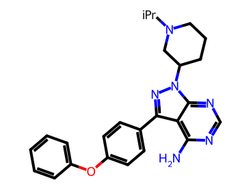 CC(C)N1CCCC(n2nc(-c3ccc(Oc4ccccc4)cc3)c3c(N)ncnc32)C1